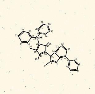 CC1=Cc2c(-c3ccccc3)cccc2C1C1=C(C)C(C)=C([SiH](c2ccccc2)c2ccccc2)C1C